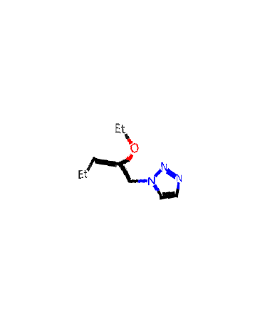 CC/C=C(\Cn1ccnn1)OCC